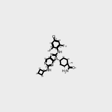 C[C@]1(C(N)=O)CC[C@H](n2c(Nc3c(F)cc(Cl)cc3F)nc3cnc(NC4CCC4)nc32)CC1